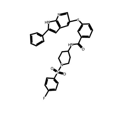 O=C(NC1CCN(S(=O)(=O)c2ccc(F)cc2)CC1)c1cccc(Sc2cnc3[nH]c(-c4ccccc4)cc3c2)c1